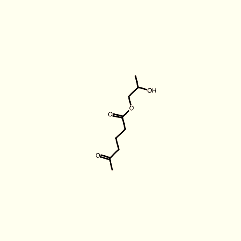 CC(=O)CCCC(=O)OCC(C)O